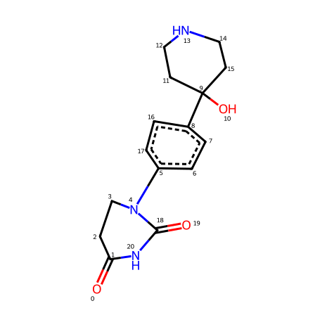 O=C1CCN(c2ccc(C3(O)CCNCC3)cc2)C(=O)N1